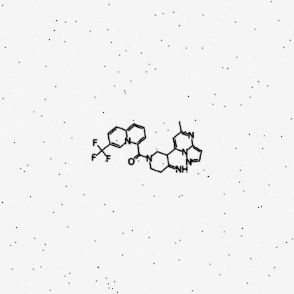 Cc1cc(C2CN(C(=O)C3=CC=C=C4C=CC(C(F)(F)F)=CN43)CCC2=N)n2nccc2n1